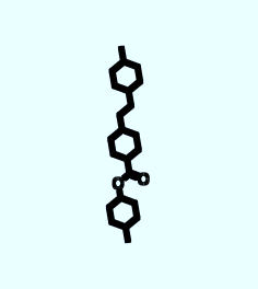 CC1CCC(CCC2CCC(C(=O)OC3CCC(C)CC3)CC2)CC1